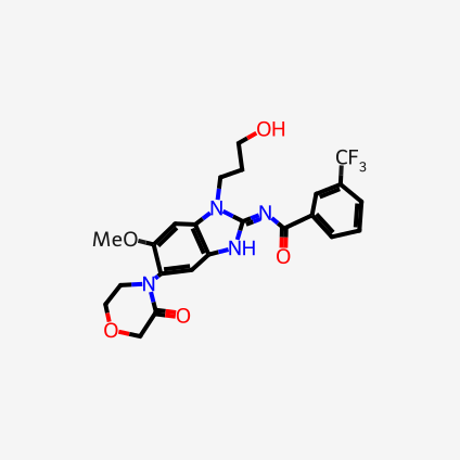 COc1cc2c(cc1N1CCOCC1=O)[nH]/c(=N\C(=O)c1cccc(C(F)(F)F)c1)n2CCCO